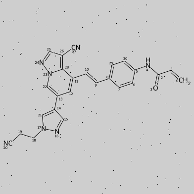 C=CC(=O)Nc1ccc(/C=C/c2cc(-c3cnn(CCC#N)c3)cn3ncc(C#N)c23)cc1